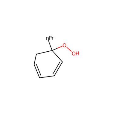 CCCC1(OO)C=CC=CC1